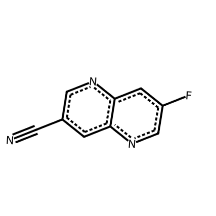 N#Cc1cnc2cc(F)cnc2c1